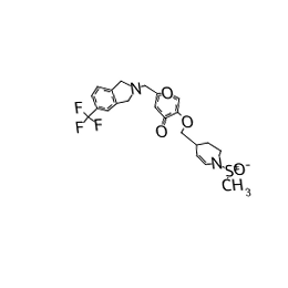 C[S+]([O-])N1C=CC(COc2coc(CN3Cc4ccc(C(F)(F)F)cc4C3)cc2=O)CC1